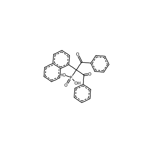 O=C(c1ccccc1)C(C(=O)c1ccccc1)(c1cccc2ccccc12)P(=O)(O)O